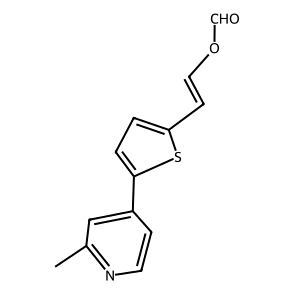 Cc1cc(-c2ccc(/C=C/OC=O)s2)ccn1